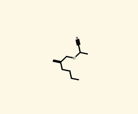 C=C(CCCC)COC(C)C#N